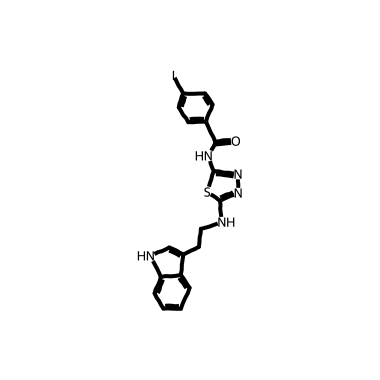 O=C(Nc1nnc(NCCc2c[nH]c3ccccc23)s1)c1ccc(I)cc1